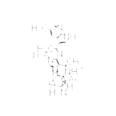 C=C(NC1[C@H]2CC[C@](N)(C3CC32)[C@H]1C(C)=O)c1ncn(C)c1/N=C(\C)c1c[nH]c2ncc(C)cc12